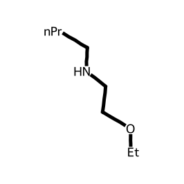 CCCCNCCOCC